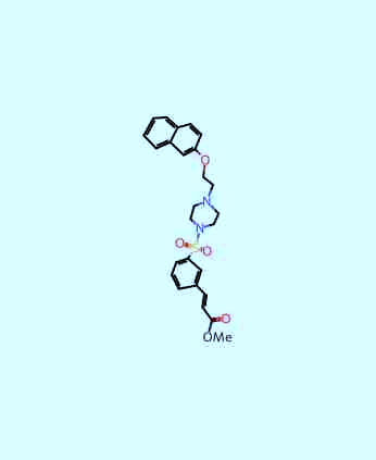 COC(=O)C=Cc1cccc(S(=O)(=O)N2CCN(CCOc3ccc4ccccc4c3)CC2)c1